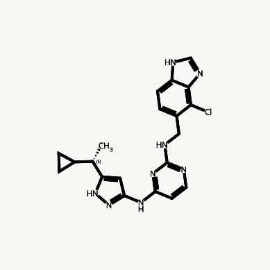 C[C@H](c1cc(Nc2ccnc(NCc3ccc4[nH]cnc4c3Cl)n2)n[nH]1)C1CC1